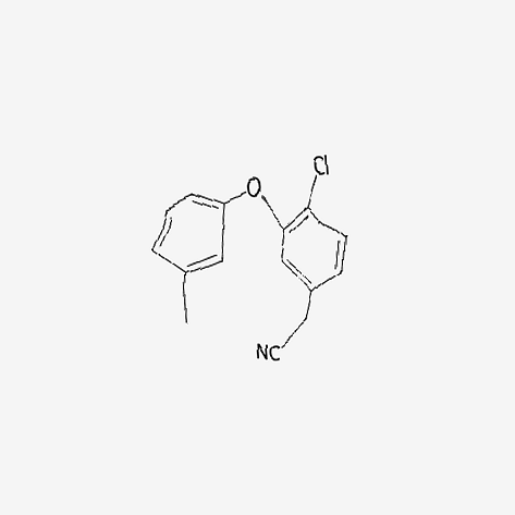 Cc1cccc(Oc2cc(CC#N)ccc2Cl)c1